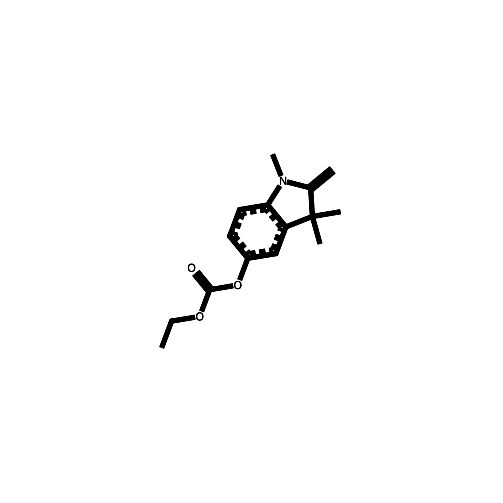 C=C1N(C)c2ccc(OC(=O)OCC)cc2C1(C)C